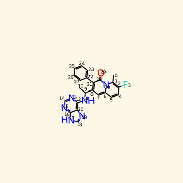 Cc1c(F)ccc2cc(C(C)Nc3ncnc4[nH]cnc34)c(-c3ccccc3)c(=O)n12